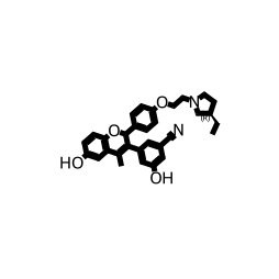 CC[C@@H]1CCN(CCOc2ccc(C3Oc4ccc(O)cc4C(C)=C3c3cc(O)cc(C#N)c3)cc2)C1